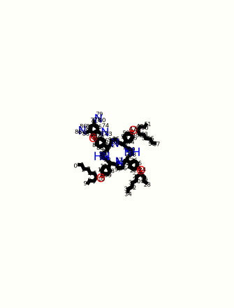 CCCCCCC(CCC)Oc1ccc(-c2c3nc(c(-c4ccc(OC(CCC)CCCCCC)cc4)c4ccc([nH]4)c(-c4ccc(OC(CCC)CCCCCC)cc4)c4nc(c(-c5ccc(Oc6c(CN(C)C)cc(CN(C)C)cc6CN(C)C)cc5)c5ccc2[nH]5)C=C4)C=C3)cc1